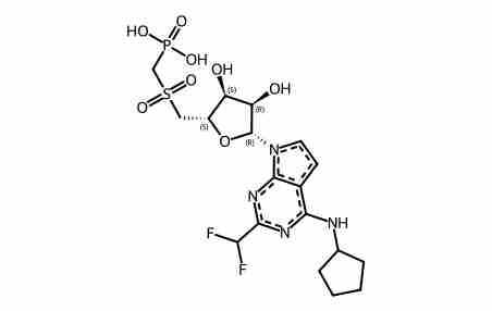 O=P(O)(O)CS(=O)(=O)C[C@H]1O[C@@H](n2ccc3c(NC4CCCC4)nc(C(F)F)nc32)[C@H](O)[C@@H]1O